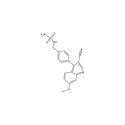 COc1ccc2c(-c3ccc(CNS(N)(=O)=O)cc3)c(C#N)cnc2c1